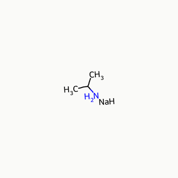 CC(C)N.[NaH]